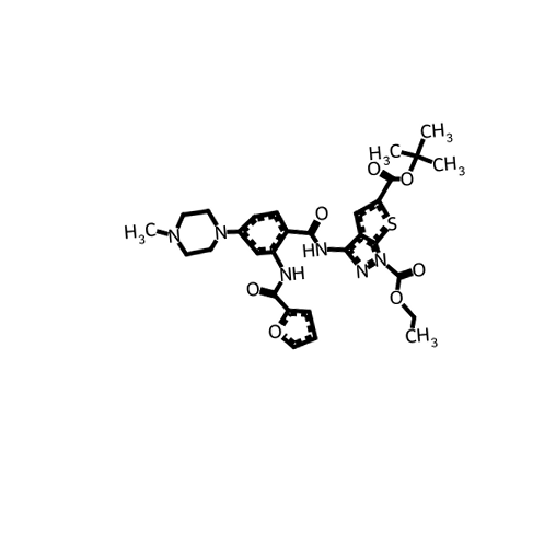 CCOC(=O)n1nc(NC(=O)c2ccc(N3CCN(C)CC3)cc2NC(=O)c2ccco2)c2cc(C(=O)OC(C)(C)C)sc21